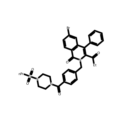 CCCS(=O)(=O)N1CCN(C(=O)c2ccc(Cn3c(C(=O)CC)c(-c4ccccc4)c4cc(Br)ccc4c3=O)cc2)CC1